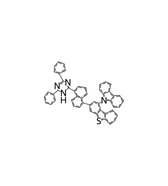 c1ccc(C2=NC(c3ccccc3)NC(c3cccc4c(-c5cc(-n6c7ccccc7c7ccccc76)c6c(c5)sc5ccccc56)cccc34)=N2)cc1